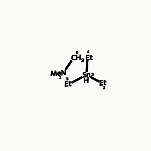 CNC.C[CH2][SnH]([CH2]C)[CH2]C